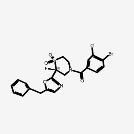 O=C(c1ccc(Br)c(Cl)c1)N1CCS(=O)(=O)[C@@](F)(c2ncc(Cc3ccccc3)o2)C1